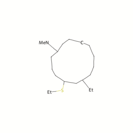 CCSC1CCCC(NC)CCCCCCCC(CC)C1